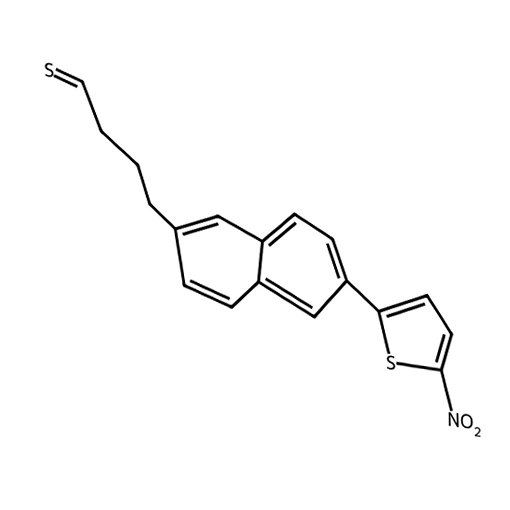 O=[N+]([O-])c1ccc(-c2ccc3cc(CCCC=S)ccc3c2)s1